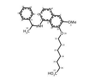 COc1cc2ncnc(NC(C)c3ccccc3)c2cc1OCCCCCCC(=O)O